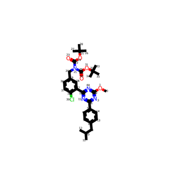 COc1nc(-c2ccc(CC(C)C)cc2)nc(-c2cc(CN(C(=O)OC(C)(C)C)C(=O)OC(C)(C)C)ccc2Cl)n1